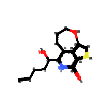 C=CCCC(O)c1[nH]c(=O)c2scc3c2c1CCCO3